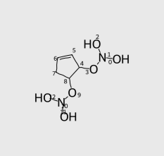 ON(O)OC1C=CCC1ON(O)O